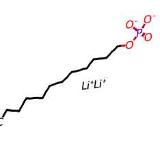 CCCCCCCCCCCCOP(=O)([O-])[O-].[Li+].[Li+]